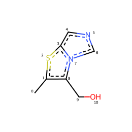 Cc1sc2cncn2c1CO